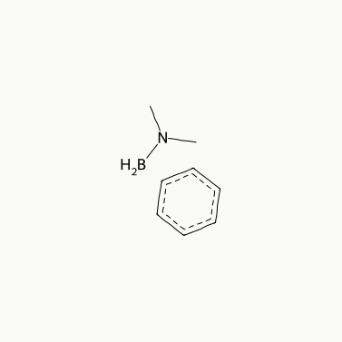 BN(C)C.c1ccccc1